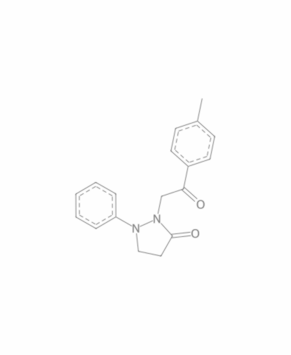 Cc1ccc(C(=O)CN2C(=O)CCN2c2ccccc2)cc1